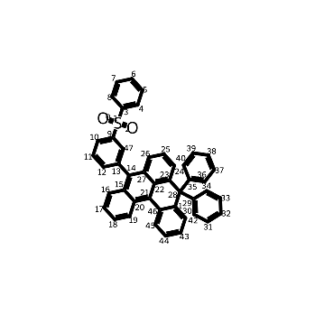 O=S(=O)(c1ccccc1)c1cccc(-c2c3ccccc3c3c4c(cccc24)C(c2ccccc2)(c2ccccc2)c2ccccc2-3)c1